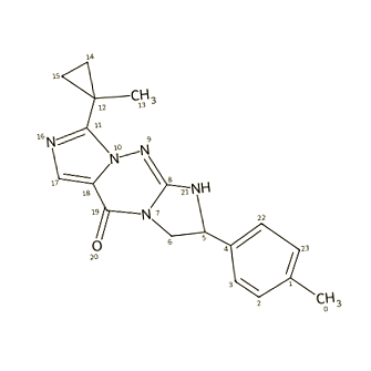 Cc1ccc(C2Cn3c(nn4c(C5(C)CC5)ncc4c3=O)N2)cc1